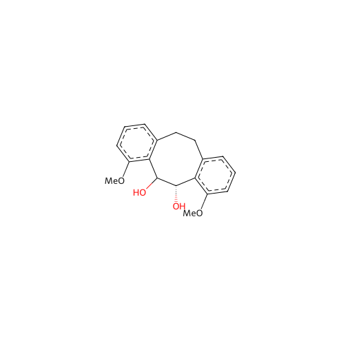 COc1cccc2c1C(O)[C@@H](O)c1c(cccc1OC)CC2